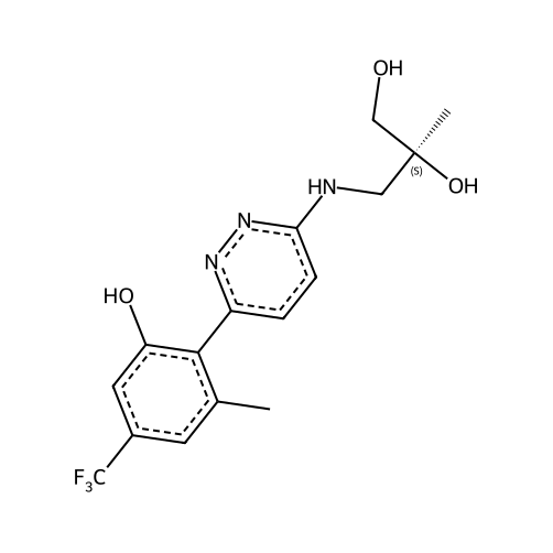 Cc1cc(C(F)(F)F)cc(O)c1-c1ccc(NC[C@](C)(O)CO)nn1